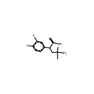 C=C(C(C)C)C(CC(C)(C)N)c1ccc(F)c(F)c1